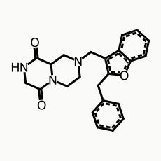 O=C1NCC(=O)N2CCN(Cc3c(Cc4ccccc4)oc4ccccc34)CC12